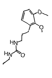 CCNC(=O)NCCCc1cccc(OC)c1OC